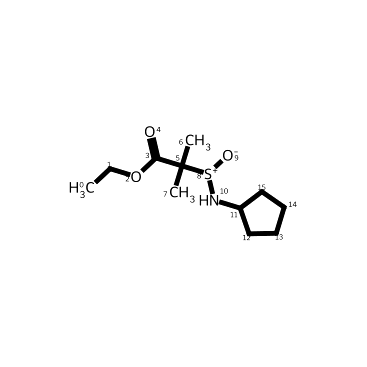 CCOC(=O)C(C)(C)[S+]([O-])NC1CCCC1